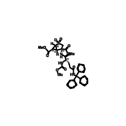 COC(=O)[C@@H]1[C@@H]2[C@H]1S(=O)(=O)C[C@@]2(NC(=O)[C@H](CCC(=O)NC(c1ccccc1)(c1ccccc1)c1ccccc1)NC(=O)OC(C)(C)C)C(=O)OC